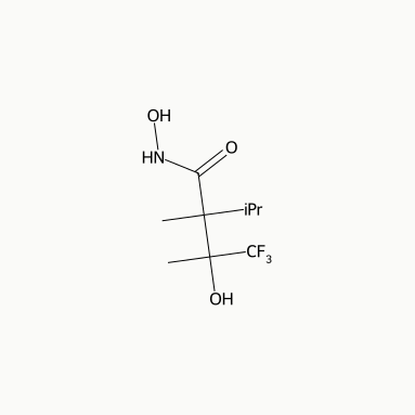 CC(C)C(C)(C(=O)NO)C(C)(O)C(F)(F)F